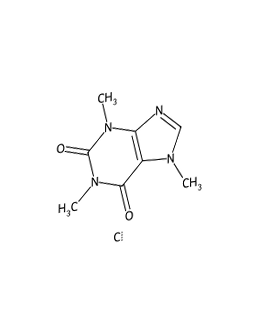 Cn1c(=O)c2c(ncn2C)n(C)c1=O.[C]